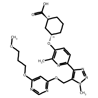 COCCCOc1cc(OCc2c(-c3ccc(O[C@H]4CCC[C@H](C(=O)O)C4)c(C)n3)nnn2C)ncn1